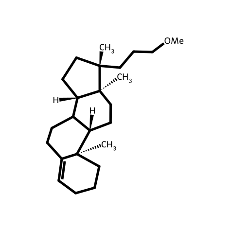 COCCC[C@@]1(C)CC[C@H]2C3CCC4=CCCC[C@]4(C)[C@H]3CC[C@@]21C